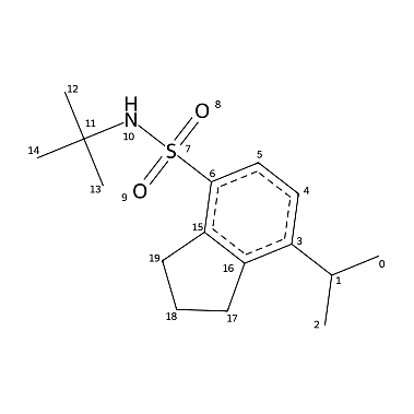 CC(C)c1ccc(S(=O)(=O)NC(C)(C)C)c2c1CCC2